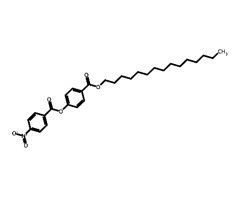 CCCCCCCCCCCCCCCOC(=O)c1ccc(OC(=O)c2ccc([N+](=O)[O-])cc2)cc1